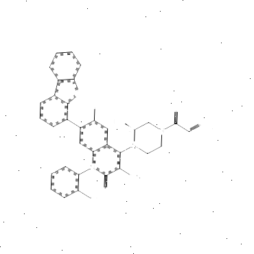 C=CC(=O)N1CCN(c2c(C#N)c(=O)n(-c3ccccc3C(C)C)c3cc(-c4cccc5c4oc4ccccc45)c(Cl)cc23)[C@@H](C)C1